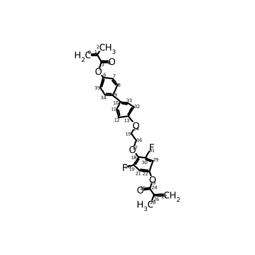 C=C(C)C(=O)Oc1ccc(-c2ccc(OCCOc3c(F)cc(OC(=O)C(=C)C)cc3F)cc2)cc1